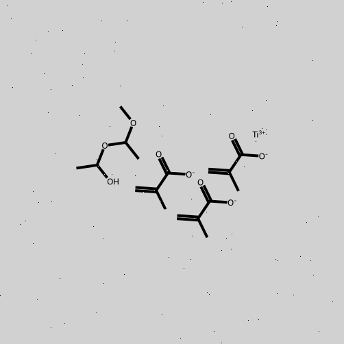 C=C(C)C(=O)[O-].C=C(C)C(=O)[O-].C=C(C)C(=O)[O-].COC(C)OC(C)O.[Ti+3]